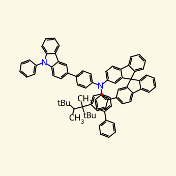 CC(C(C)(C)C)C(C)(c1ccc(-c2ccc3c(c2)C2(c4ccccc4-3)c3ccccc3-c3ccc(N(c4ccc(-c5ccccc5)cc4)c4ccc(-c5ccc6c(c5)c5ccccc5n6-c5ccccc5)cc4)cc32)cc1)C(C)(C)C